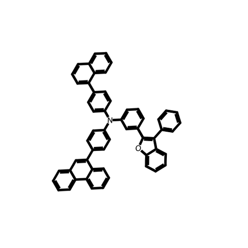 c1ccc(-c2c(-c3cccc(N(c4ccc(-c5cccc6ccccc56)cc4)c4ccc(-c5cc6ccccc6c6ccccc56)cc4)c3)oc3ccccc23)cc1